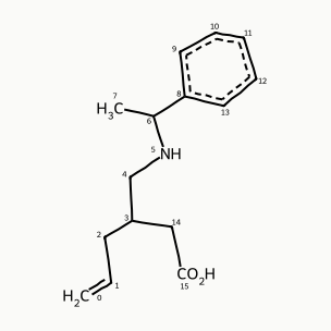 C=CCC(CNC(C)c1ccccc1)CC(=O)O